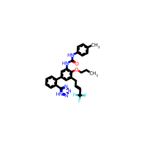 CCCOc1c(C/C=C/C(F)(F)F)cc(-c2ccccc2-c2nnn[nH]2)cc1NC(=O)Nc1ccc(C)cc1